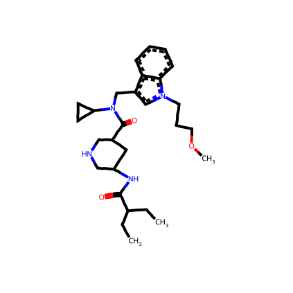 CCC(CC)C(=O)NC1CNCC(C(=O)N(Cc2cn(CCCOC)c3ccccc23)C2CC2)C1